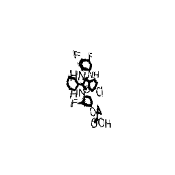 O=C(Nc1ccc(OC2(C(=O)O)CC2)cc1F)C(C1CCCCC1)C1(c2ccc(Cl)cc2)Nc2cc(F)c(F)cc2N1